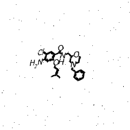 CC(C)=CCOc1cc(N)c(Cl)cc1C(=O)NCC1CN(Cc2ccccc2)CCO1